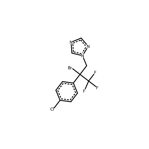 FC(F)(F)C(Br)(Cn1cncn1)c1ccc(Cl)cc1